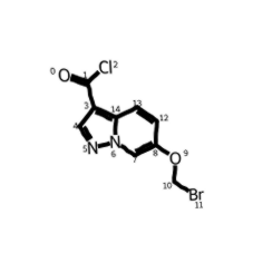 O=C(Cl)c1cnn2cc(OCBr)ccc12